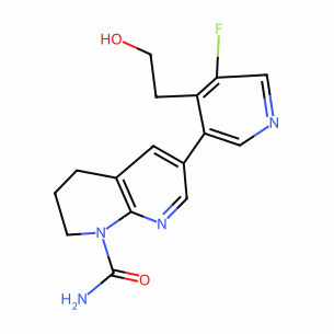 NC(=O)N1CCCc2cc(-c3cncc(F)c3CCO)cnc21